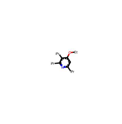 CCOc1cc(C(C)C)nc(C(C)C)c1C(C)C